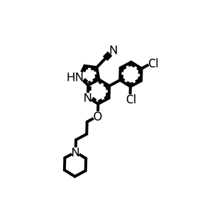 N#Cc1c[nH]c2nc(OCCCN3CCCCC3)cc(-c3ccc(Cl)cc3Cl)c12